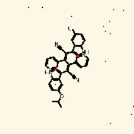 CC(C)Oc1ccc2[nH]cc(/C(C#N)=C(\C(=C(\C#N)c3c[nH]c4ccc(Cl)cc34)c3cccnc3)c3cccnc3)c2c1